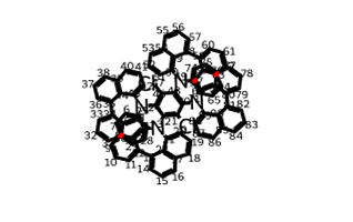 Clc1c(-n2c3cccc4cccc(c5cccc6cccc2c65)c43)c(-n2c3cccc4cccc(c5cccc6cccc2c65)c43)c(Cl)c(-n2c3cccc4cccc(c5cccc6cccc2c65)c43)c1-n1c2cccc3cccc(c4cccc5cccc1c54)c32